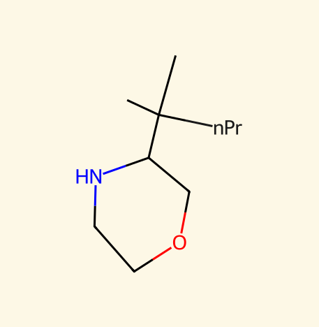 CCCC(C)(C)C1COCCN1